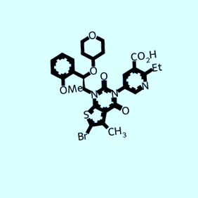 CCc1ncc(-n2c(=O)c3c(C)c(Br)sc3n(C[C@H](OC3CCOCC3)c3ccccc3OC)c2=O)cc1C(=O)O